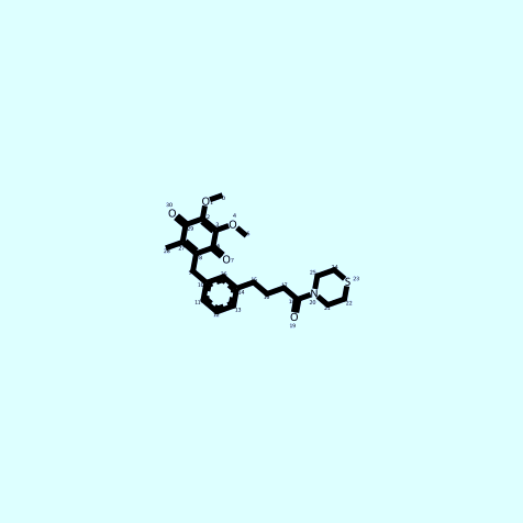 COC1=C(OC)C(=O)C(Cc2cccc(CCCC(=O)N3CCSCC3)c2)=C(C)C1=O